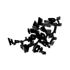 Cc1cnc([C@@H](C)[C@H](C)S(=O)(=O)Nc2nnc([C@H]3CCCO3)n2-c2c(F)cccc2F)nc1